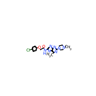 Cc1nc(N2CCN(C)CC2)nc2ncc(NC(=O)COc3ccc(Cl)cc3)nc12